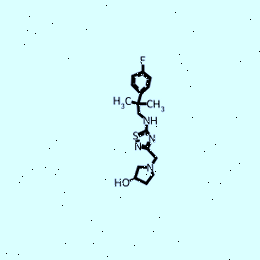 CC(C)(CNc1nc(CN2CC[C@@H](O)C2)ns1)c1ccc(F)cc1